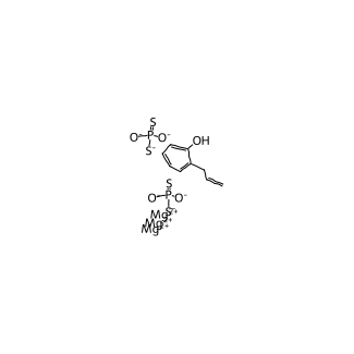 C=CCc1ccccc1O.[Mg+2].[Mg+2].[Mg+2].[O-]P([O-])(=S)[S-].[O-]P([O-])(=S)[S-]